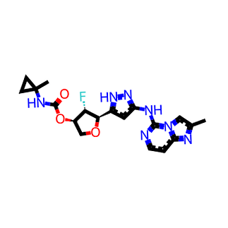 Cc1cn2c(Nc3cc([C@H]4OC[C@@H](OC(=O)NC5(C)CC5)[C@@H]4F)[nH]n3)nccc2n1